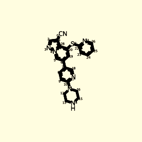 N#Cc1cnn2cc(-c3ccc(N4CCNCC4)nc3)cc(Sc3ccccn3)c12